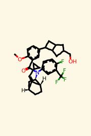 COc1ccc(C2CC3CC(CO)CC32)cc1C(=O)N(c1ccc(F)c(C(F)(F)F)c1)[C@@H]1C[C@H]2CC[C@@H]1/C2=C\C1CC1